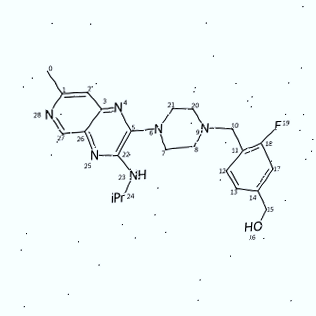 Cc1cc2nc(N3CCN(Cc4ccc(CO)cc4F)CC3)c(NC(C)C)nc2cn1